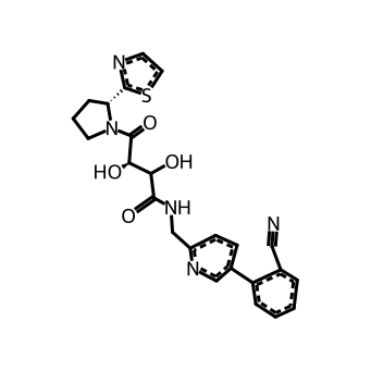 N#Cc1ccccc1-c1ccc(CNC(=O)C(O)[C@@H](O)C(=O)N2CCC[C@@H]2c2nccs2)nc1